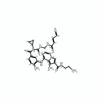 CCCNC(=O)c1cn2ncnc(Nc3cc(C(=O)N(C(=O)OCOC(=O)/C=C/C=O)C4CC4)ccc3C)c2c1C